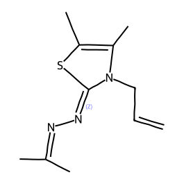 C=CCn1c(C)c(C)s/c1=N\N=C(C)C